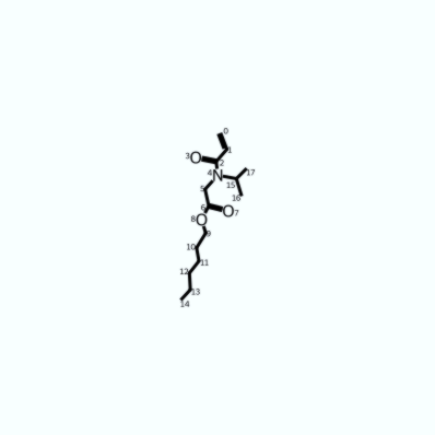 C=CC(=O)N(CC(=O)OCCCCCC)C(C)C